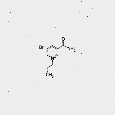 CCC[n+]1cccc(C(N)=O)c1.[Br-]